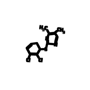 Cc1cnc(SC2CC=CC(Cl)=C2Cl)nc1C